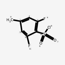 Cc1cc(F)c(S(=O)(=O)Cl)c(F)c1